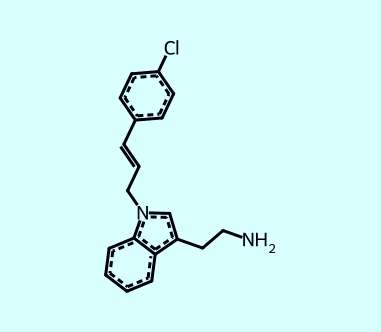 NCCc1cn(CC=Cc2ccc(Cl)cc2)c2ccccc12